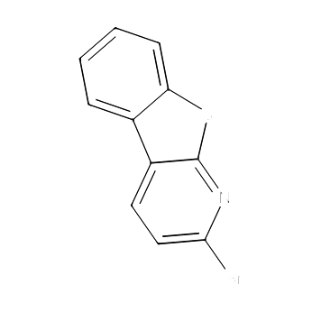 Brc1ccc2c(n1)sc1ccccc12